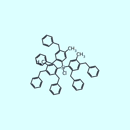 Cc1cc([Si](Cl)(c2cc(C)c(Cc3ccccc3)cc2Cc2ccccc2)c2cc(C)c(Cc3ccccc3)cc2Cc2ccccc2)c(Cc2ccccc2)cc1Cc1ccccc1